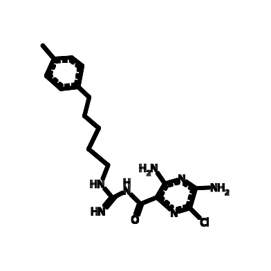 Cc1ccc(CCCCCNC(=N)NC(=O)c2nc(Cl)c(N)nc2N)cc1